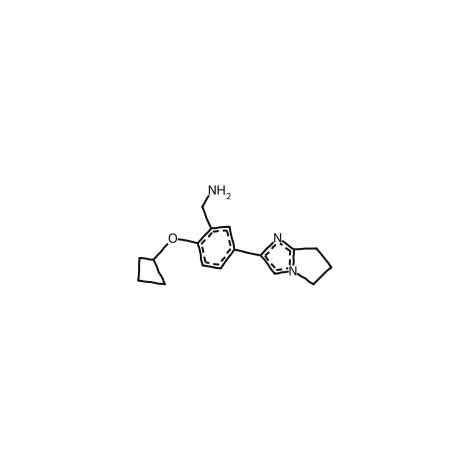 NCc1cc(-c2cn3c(n2)CCC3)ccc1OC1CCC1